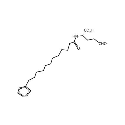 O=[C]CC[C@H](NC(=O)CCCCCCCCCCCc1ccccc1)C(=O)O